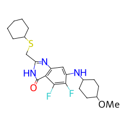 COC1CCC(Nc2cc3nc(CSC4CCCCC4)[nH]c(=O)c3c(F)c2F)CC1